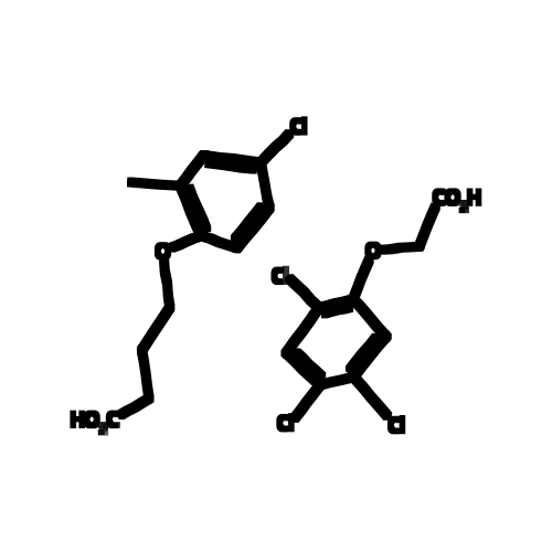 Cc1cc(Cl)ccc1OCCCC(=O)O.O=C(O)COc1cc(Cl)c(Cl)cc1Cl